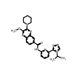 COc1nc2ccc(C(=O)Nc3cccc(-c4nncn4C(C)C)n3)cc2nc1N1CCCCC1